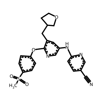 CS(=O)(=O)c1ccc(Oc2ncc(Nc3ccc(C#N)cn3)cc2CC2CCOC2)cc1